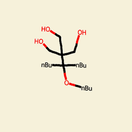 CCCCOC(CCCC)(CCCC)C(CO)(CO)CO